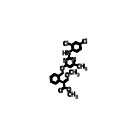 CO/C=C(/C(=O)OC)c1ccccc1COc1cc(C)nc(Nc2ccc(Cl)cc2Cl)n1